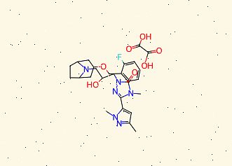 Cc1cc(-c2nn(CC(O)CN3C4CCC3CC(OCc3ccccc3F)C4)c(=O)n2C)n(C)n1.O=C(O)C(=O)O